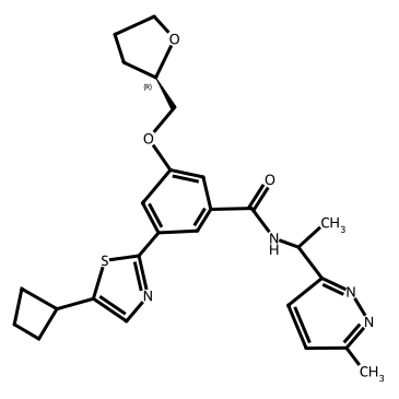 Cc1ccc(C(C)NC(=O)c2cc(OC[C@H]3CCCO3)cc(-c3ncc(C4CCC4)s3)c2)nn1